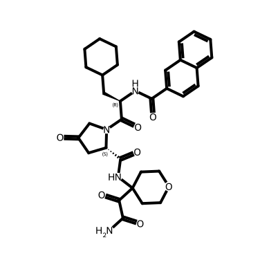 NC(=O)C(=O)C1(NC(=O)[C@@H]2CC(=O)CN2C(=O)[C@@H](CC2CCCCC2)NC(=O)c2ccc3ccccc3c2)CCOCC1